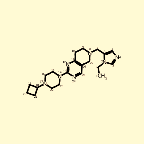 CCn1cncc1CN1CCc2nc(N3CCN(C4CCC4)CC3)ncc2C1